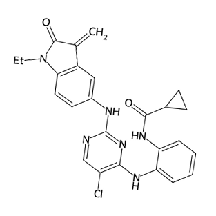 C=C1C(=O)N(CC)c2ccc(Nc3ncc(Cl)c(Nc4ccccc4NC(=O)C4CC4)n3)cc21